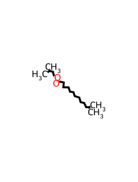 CC(C)CCCCCCCCCCC(=O)OCCC(C)C